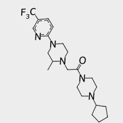 CC1CN(c2ccc(C(F)(F)F)cn2)CCN1CC(=O)N1CCN(C2CCCC2)CC1